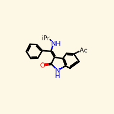 CC(=O)c1ccc2c(c1)C(=C(NC(C)C)c1ccccc1)C(=O)N2